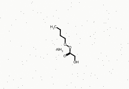 CCCCOOC(=O)CO.[AlH3]